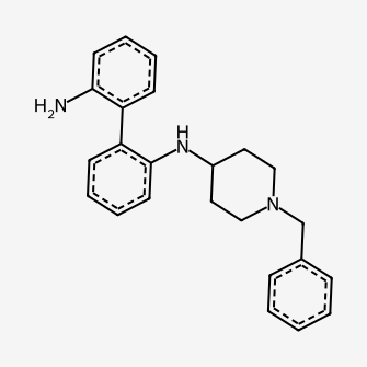 Nc1ccccc1-c1ccccc1NC1CCN(Cc2ccccc2)CC1